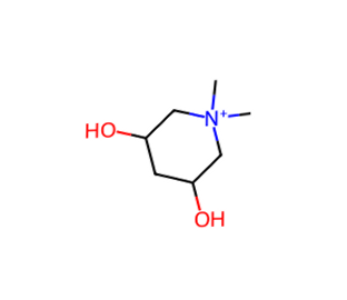 C[N+]1(C)CC(O)CC(O)C1